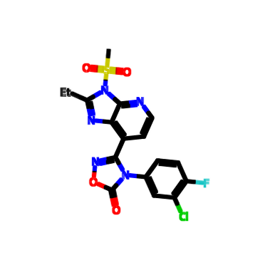 [CH2]Cc1nc2c(-c3noc(=O)n3-c3ccc(F)c(Cl)c3)ccnc2n1S(C)(=O)=O